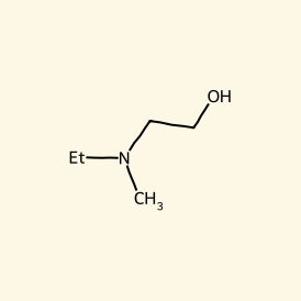 [CH2]CN(C)CCO